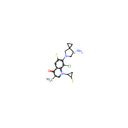 N[C@@H]1CN(c2c(F)cc3c(=O)c(C(=O)O)cn(C4CC4F)c3c2Cl)CC12CC2